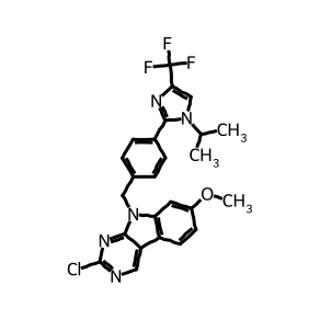 COc1ccc2c3cnc(Cl)nc3n(Cc3ccc(-c4nc(C(F)(F)F)cn4C(C)C)cc3)c2c1